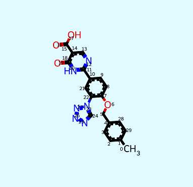 Cc1ccc(COc2ccc(-c3ncc(C(=O)O)c(=O)[nH]3)cc2-n2cnnn2)cc1